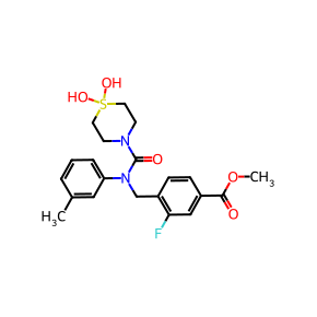 COC(=O)c1ccc(CN(C(=O)N2CCS(O)(O)CC2)c2cccc(C)c2)c(F)c1